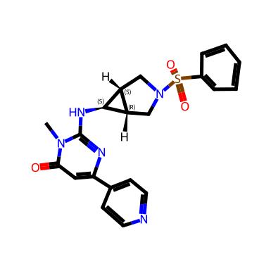 Cn1c(N[C@H]2[C@@H]3CN(S(=O)(=O)c4ccccc4)C[C@@H]32)nc(-c2ccncc2)cc1=O